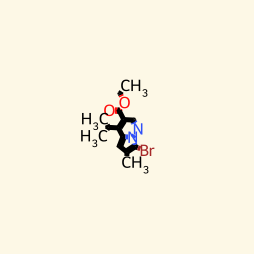 CCOC(=O)c1cnn2c(Br)c(C)cc2c1C(C)C